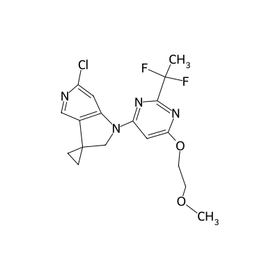 COCCOc1cc(N2CC3(CC3)c3cnc(Cl)cc32)nc(C(C)(F)F)n1